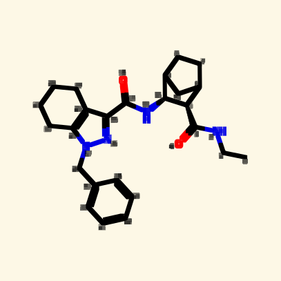 CCNC(=O)[C@@H]1C2CCC(C2)[C@@H]1NC(=O)c1nn(Cc2ccccc2)c2c1CCCC2